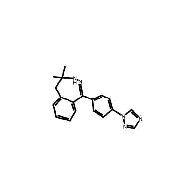 CC1(C)Cc2ccccc2C(c2ccc(-n3cncn3)cc2)=NN1